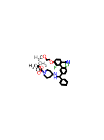 COCCOc1ccc(C#N)c(-c2cc(C(CN[C@H]3CCCN(C(=O)OC(C)(C)C)CC3)c3ccccc3)ccc2Cl)c1F